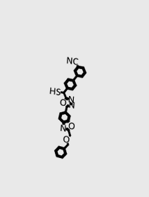 N#Cc1cccc(-c2ccc(C(S)c3nnc(-c4ccc5nc(COCc6ccccc6)oc5c4)o3)cc2)c1